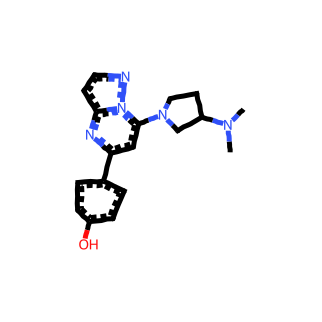 CN(C)C1CCN(c2cc(-c3ccc(O)cc3)nc3ccnn23)C1